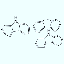 c1ccc2c(c1)Cc1ccccc1-2.c1ccc2c(c1)[nH]c1ccccc12.c1ccc2c(c1)[nH]c1ccccc12